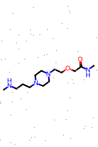 CNCCCN1CCN(CCOCC(=O)NC)CC1